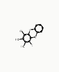 Oc1c(O)c(Cl)c2c(c1Cl)Oc1ccccc1O2